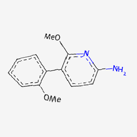 COc1ccccc1-c1ccc(N)nc1OC